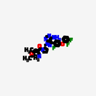 CCOC(C)(C)C=C(C#N)C(=O)N1CCC[C@H]1Cn1nc(-c2ccc(Oc3cccc(F)c3F)cc2F)c2c(N)ncnc21